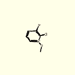 CO[n+]1cccc(Br)c1Cl